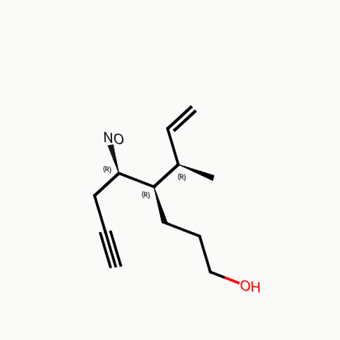 C#CC[C@@H](N=O)[C@H](CCCO)[C@H](C)C=C